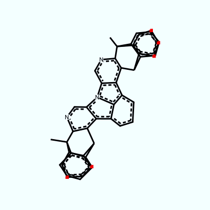 CC12c3ccccc3C(c3ccccc31)c1c2ncc2c1c1cccc3c4c5c(ncc4n2c13)C1(C)c2ccccc2C5c2ccccc21